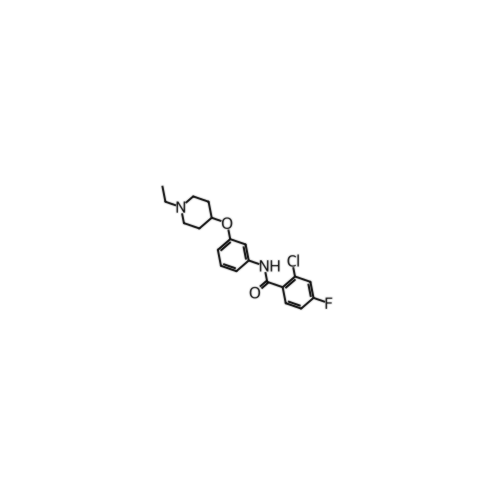 CCN1CCC(Oc2cccc(NC(=O)c3ccc(F)cc3Cl)c2)CC1